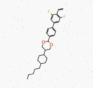 C=Cc1c(F)cc(-c2ccc(C3OCC(C4CCC(CCCCC)CC4)CO3)cc2)cc1F